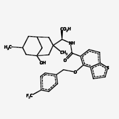 CC1CC2CC(O)(C1)CC(C)([C@H](NC(=O)c1ccc3sccc3c1OCc1ccc(C(F)(F)F)cc1)C(=O)O)C2